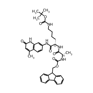 Cc1cc(=O)[nH]c2cc(NC(=O)[C@H](CCCCNC(=O)OC(C)(C)C)NC(=O)[C@H](C)NC(=O)OCC3c4ccccc4-c4ccccc43)ccc12